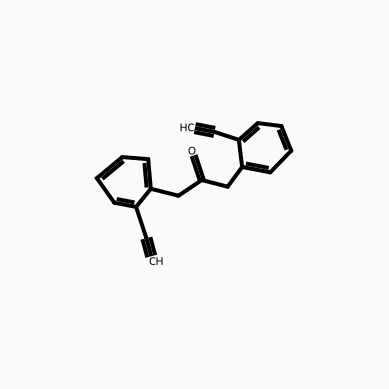 C#Cc1ccccc1CC(=O)Cc1ccccc1C#C